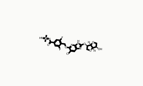 CS(C)(=N)=NC(=O)c1cc(F)c(COc2nc3[nH]c(O[C@@H]4CO[C@H]5[C@@H]4OC[C@H]5O)nc3cc2Cl)c(F)c1